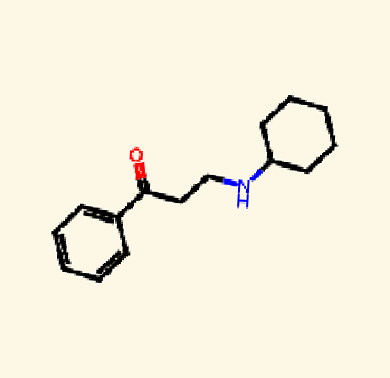 O=C(CCNC1CCCCC1)c1ccccc1